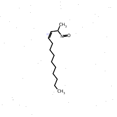 CCCCCCCCC/C=C\C(C)N=O